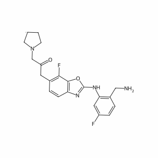 NCc1ccc(F)cc1Nc1nc2ccc(CC(=O)CN3C[CH]CC3)c(F)c2o1